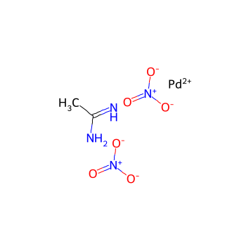 CC(=N)N.O=[N+]([O-])[O-].O=[N+]([O-])[O-].[Pd+2]